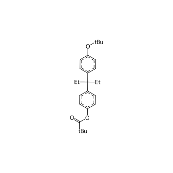 CCC(CC)(c1ccc(OC(=O)C(C)(C)C)cc1)c1ccc(OC(C)(C)C)cc1